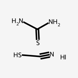 I.N#CS.NC(N)=S